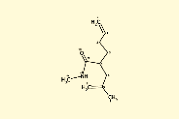 C=CCCC(CC(=C)C)C(=O)NC